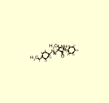 C=Cc1ccc(/N=N/c2c(C)[nH]n(-c3ccccc3)c2=O)cc1